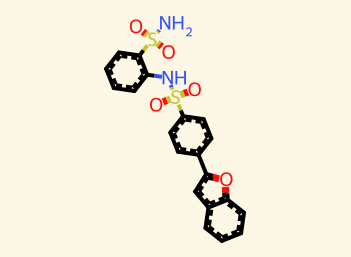 NS(=O)(=O)c1ccccc1NS(=O)(=O)c1ccc(-c2cc3ccccc3o2)cc1